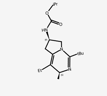 CCC1=C2C[C@@H](NC(=O)OC(C)C)CN2C(C(C)(C)C)=N[C@H]1C